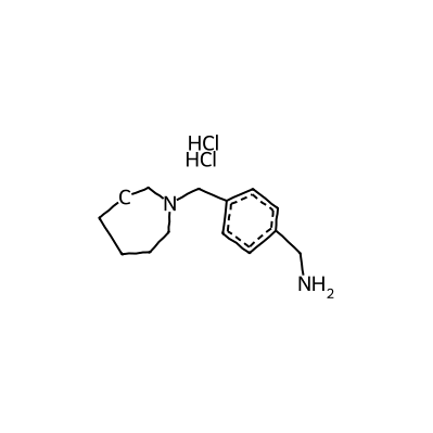 Cl.Cl.NCc1ccc(CN2CCCCCC2)cc1